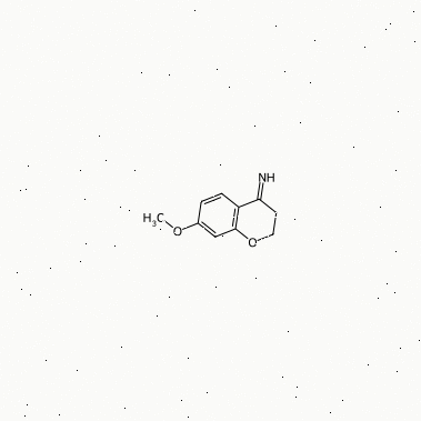 COc1ccc2c(c1)OCCC2=N